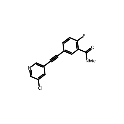 CNC(=O)c1cc(C#Cc2cncc(Cl)c2)ccc1F